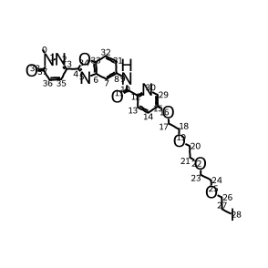 Cn1nc(-c2nc3cc(NC(=O)c4ccc(OCCOCCOCCOCCI)cn4)ccc3o2)ccc1=O